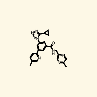 Cc1ccc(-c2cc(C(=O)NCc3cnc(C)cn3)cc(-n3nnnc3C3CC3)c2)nc1